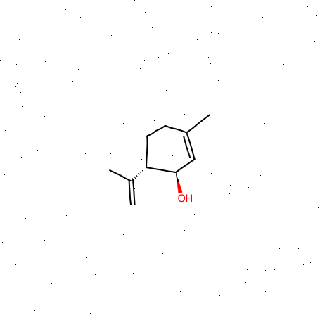 C=C(C)[C@@H]1CCC(C)=C[C@H]1O